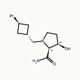 CC(C)[C@H]1C[C@H](CN2CC[C@@H](O)[C@H]2C(N)=O)C1